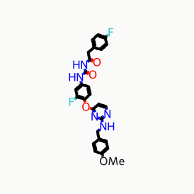 COc1ccc(CNc2nccc(Oc3ccc(NC(=O)NC(=O)Cc4ccc(F)cc4)cc3F)n2)cc1